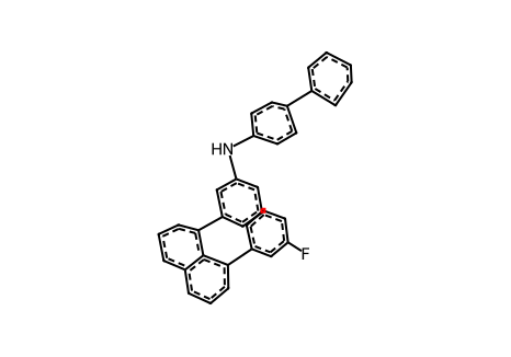 Fc1cccc(-c2cccc3cccc(-c4cccc(Nc5ccc(-c6ccccc6)cc5)c4)c23)c1